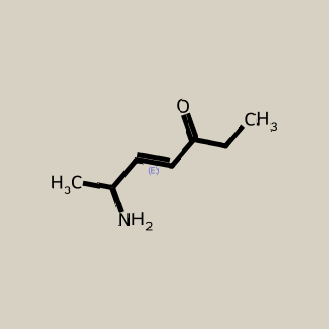 CCC(=O)/C=C/C(C)N